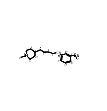 CN1CCC(CCCCOc2cccc(C=O)c2)CC1